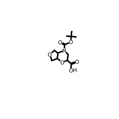 CC(C)(C)OC(=O)N1CC(C(=O)O)OC2COCC21